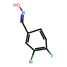 O/N=C/c1ccc(F)c(Br)c1